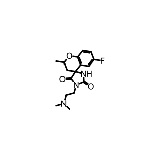 CC1CC2(NC(=O)N(CCN(C)C)C2=O)c2cc(F)ccc2O1